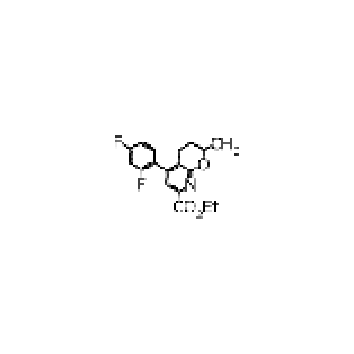 CCOC(=O)c1cc(-c2ccc(F)cc2F)c2c(n1)OC(C)CC2